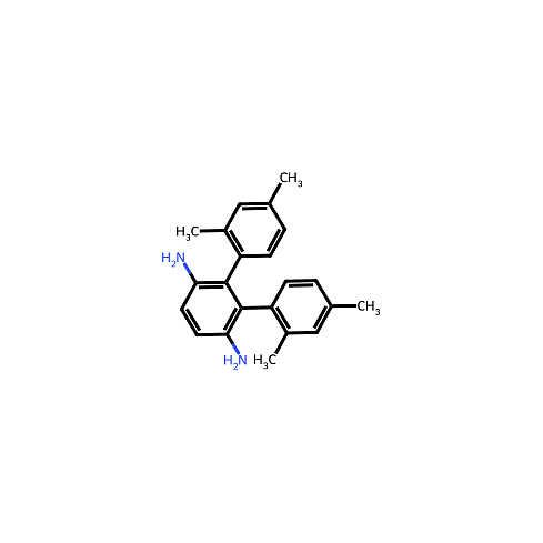 Cc1ccc(-c2c(N)ccc(N)c2-c2ccc(C)cc2C)c(C)c1